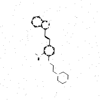 O=[N+]([O-])c1cc(C=Cc2n[nH]c3ccccc23)ccc1OCCN1CCOCC1